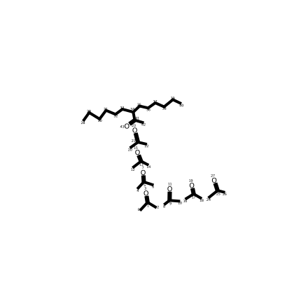 CC(C)=O.CC(C)=O.CC(C)=O.CC(C)=O.CC(C)=O.CC(C)=O.CC(C)=O.CCCCCCC(CCCCCC)C(C)=O